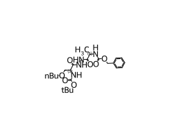 CCCCOC[C@H](NC(=O)OC(C)(C)C)C(=O)NNC(=O)[C@H](C)NC(=O)OCc1ccccc1